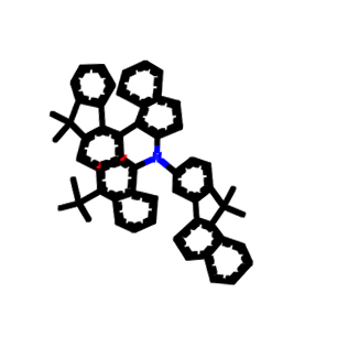 CC(C)(C)c1ccc(N(c2ccc3c(c2)-c2ccc4ccccc4c2C3(C)C)c2ccc3ccccc3c2-c2cccc3c2-c2ccccc2C3(C)C)c2ccccc12